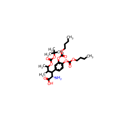 CCCCOC(=O)Oc1ccc(C(C(C)C(C)OC(=O)OC(C)(C)C)[C@H](N)C(=O)O)cc1OC(=O)OCCCC